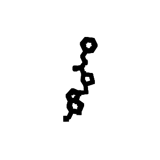 O=C(OCc1ccccc1)N1CCC(Cn2ccc3cc(Br)ncc32)C1